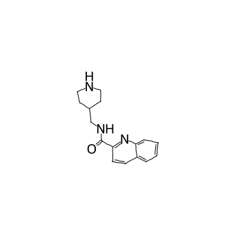 O=C(NCC1CCNCC1)c1ccc2ccccc2n1